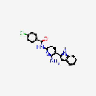 Cn1c(-c2ccc(NC(=O)c3ccc(Cl)cc3)nc2N)cc2ccccc21